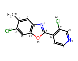 FC(F)(F)c1cc2nc(-c3ccncc3Cl)oc2cc1Cl